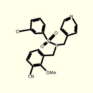 COc1c(C#N)cccc1CN(Cc1ccncc1)S(=O)(=O)c1cccc(Cl)c1